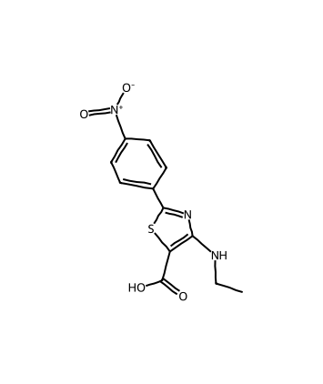 CCNc1nc(-c2ccc([N+](=O)[O-])cc2)sc1C(=O)O